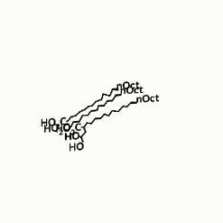 CCCCCCCCC=CCCCCCCCCCCC(CC(O)CO)C(=O)O.CCCCCCCCC=CCCCCCCCCCCCC(=O)O.CCCCCCCCC=CCCCCCCCCCCCC(=O)O